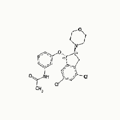 CC(=O)Nc1cccc(O[C@H]2c3cc(Cl)cc(Cl)c3C[C@@H]2N2CCOCC2)c1